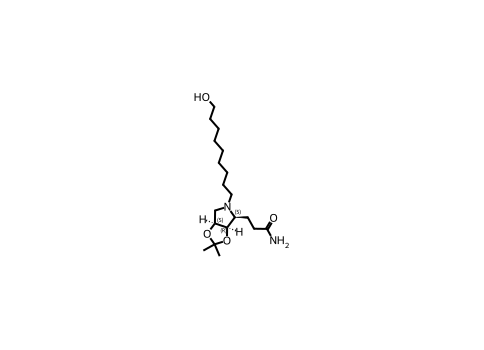 CC1(C)O[C@H]2[C@H](CN(CCCCCCCCCO)[C@H]2CCC(N)=O)O1